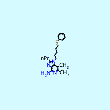 CCCc1nc2c(N)nc(C)c(C)c2n1CCCCCSc1ccccc1